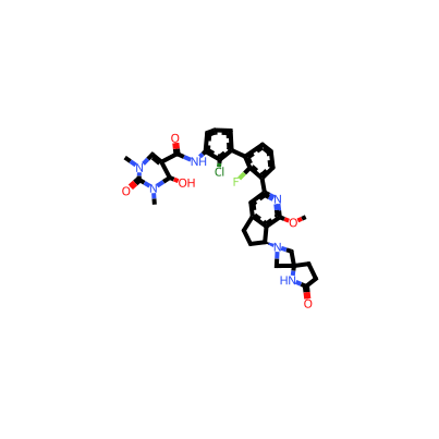 COc1nc(-c2cccc(-c3cccc(NC(=O)C4=CN(C)C(=O)N(C)C4O)c3Cl)c2F)cc2c1[C@@H](N1CC3(CCC(=O)N3)C1)CC2